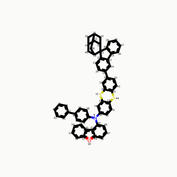 c1ccc(-c2ccc(N(c3ccc4c(c3)Sc3cc(-c5ccc6c(c5)-c5ccccc5C65C6CC7CC(C6)CC5C7)ccc3S4)c3cccc4oc5ccccc5c34)cc2)cc1